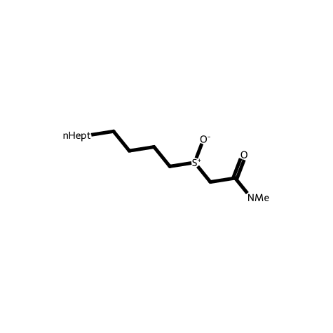 CCCCCCCCCCC[S+]([O-])CC(=O)NC